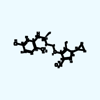 Cc1c(OCC[C@@H](C)Nc2nc(Cl)ncc2C(F)(F)F)c([N+](=O)[O-])nn1C1CC1